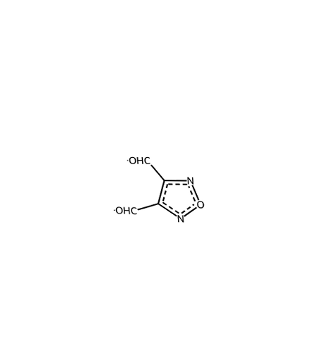 O=[C]c1nonc1[C]=O